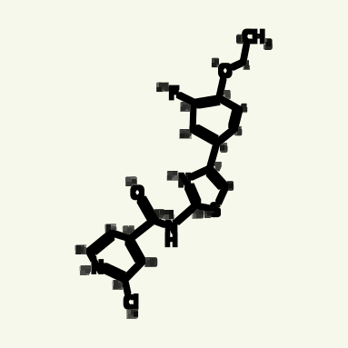 CCOc1ccc(-c2csc(NC(=O)c3ccnc(Cl)c3)n2)cc1F